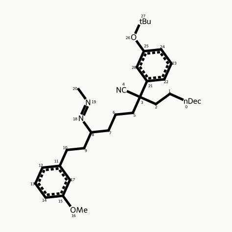 CCCCCCCCCCCCC(C#N)(CCCC(CCc1cccc(OC)c1)N=NC)c1cccc(OC(C)(C)C)c1